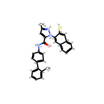 Cc1cc(C(=O)Nc2ccc(-c3ccccc3C#N)cc2)n(-c2cc3ccccc3cc2S)n1